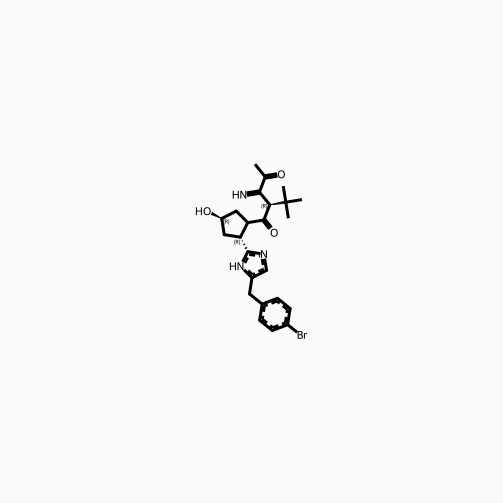 CC(=O)C(=N)[C@H](C(=O)C1C[C@H](O)C[C@H]1c1ncc(Cc2ccc(Br)cc2)[nH]1)C(C)(C)C